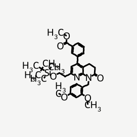 COC(=O)c1cccc(-c2cc(CCO[Si](C)(C)C(C)(C)C)nc3c2CCC(=O)N3Cc2ccc(OC)cc2OC)c1